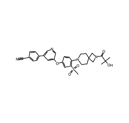 CC(C)(O)C(=O)N1CC2(CCN(c3ccc(Oc4cncc(-c5ccc(C#N)cc5)c4)cc3S(C)(=O)=O)CC2)C1